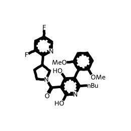 CCCCc1nc(O)c(C(=O)N2CCC(c3ncc(F)cc3F)C2)c(O)c1-c1c(OC)cccc1OC